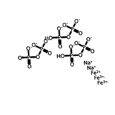 O=P([O-])([O-])OP(=O)([O-])O.O=P([O-])([O-])OP(=O)([O-])O.O=P([O-])([O-])OP(=O)([O-])[O-].[Fe+2].[Fe+3].[Fe+3].[Na+].[Na+]